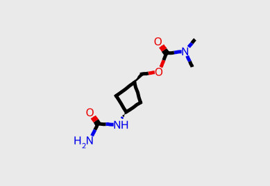 CN(C)C(=O)OC[C@H]1C[C@H](NC(N)=O)C1